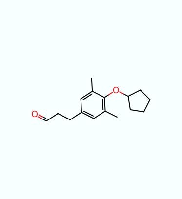 Cc1cc(CCC=O)cc(C)c1OC1CCCC1